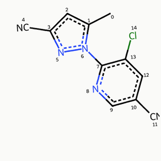 Cc1cc(C#N)nn1-c1ncc(C#N)cc1Cl